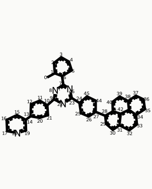 Cc1ccccc1-c1nc(-c2ccc(-c3cccnc3)cc2)nc(-c2ccc(-c3ccc4ccc5cccc6ccc3c4c56)cc2)n1